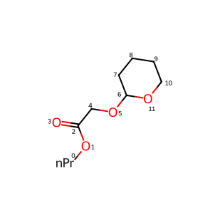 CCCOC(=O)COC1CCCCO1